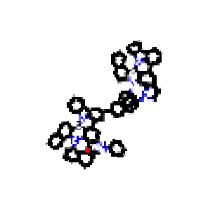 c1ccc(-n2ccc3c4c5c(cc32)-c2cc(-c3ccc6ccc(N7c8ccc9ccccc9c8B8c9c(cc%10ccn(-c%11ccccc%11)c%10c97)-c7cccc9c%10ccccc%10n8c79)cc6c3)cc3c6ccccc6n(c23)B5c2ccc3ccccc3c2N4c2cccc3ccccc23)cc1